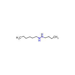 CCCCCCNNCCCC